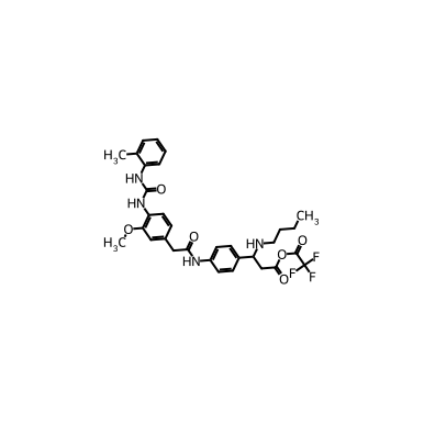 CCCCNC(CC(=O)OC(=O)C(F)(F)F)c1ccc(NC(=O)Cc2ccc(NC(=O)Nc3ccccc3C)c(OC)c2)cc1